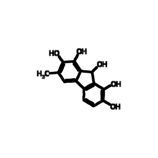 Cc1cc2c(c(O)c1O)C(O)c1c-2ccc(O)c1O